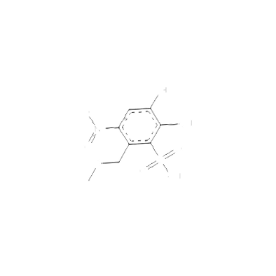 COCc1c([N+](=O)[O-])cc(O)c(O)c1S(=O)(=O)O